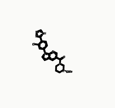 CO[C@@H]1CCCN(C(=O)c2cnc3c(ccn3-c3ccc(-c4nnc[nH]4)c(Cl)c3)c2)C1